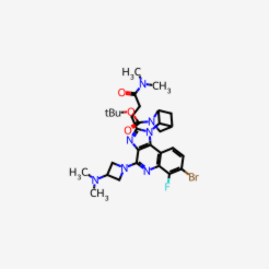 CN(C)C(=O)CCc1nc2c(N3CC(N(C)C)C3)nc3c(F)c(Br)ccc3c2n1C1C2CC1N(C(=O)OC(C)(C)C)C2